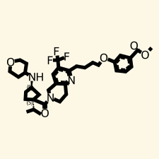 COC(=O)c1cccc(OCCCCc2nc3c(cc2C(F)(F)F)CN(C(=O)[C@@]2(C(C)C)CC[C@@H](NC4CCOCC4)C2)CC3)c1